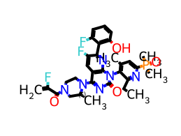 C=C(F)C(=O)N1CCN(c2nc(=O)n(-c3c(C)cc(P(C)(C)=O)nc3CC)c3nc(-c4c(O)cccc4F)c(F)cc23)[C@@H](C)C1